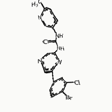 Cc1ccc(NC(=O)Nc2cncc(-c3ccc(Br)c(Cl)c3)n2)cn1